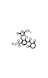 Cc1nn(Cc2c(S(C)(=O)=O)ccc(C(=O)C3C(=O)CCCC3=O)c2Cl)c(=O)o1